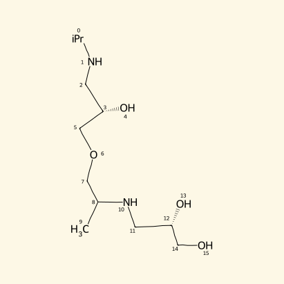 CC(C)NC[C@H](O)COCC(C)NC[C@H](O)CO